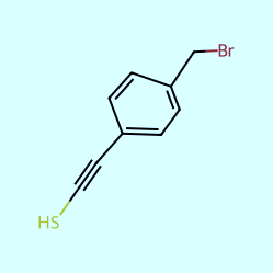 SC#Cc1ccc(CBr)cc1